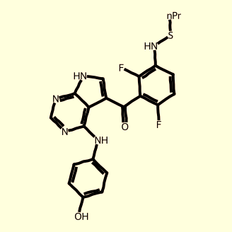 CCCSNc1ccc(F)c(C(=O)c2c[nH]c3ncnc(Nc4ccc(O)cc4)c23)c1F